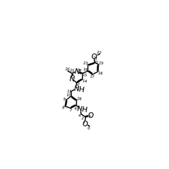 COC(=O)CNc1cccc(CNc2cc(-c3cccc(OC)c3)nc(C)n2)c1